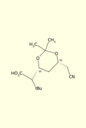 CC1(C)O[C@H](CC#N)C[C@H](C(C(=O)O)C(C)(C)C)O1